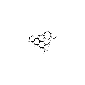 CCN1CCC[C@@H](Nc2c3c(nc4cc(OC)c(OC)nc24)CCC3)CC1